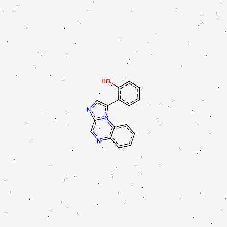 Oc1ccccc1-c1cnc2cnc3ccccc3n12